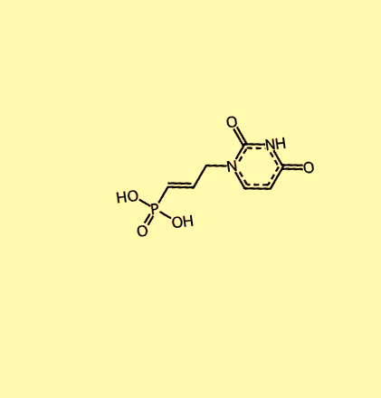 O=c1ccn(C/C=C/P(=O)(O)O)c(=O)[nH]1